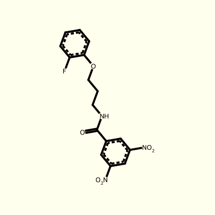 O=C(NCCCOc1ccccc1F)c1cc([N+](=O)[O-])cc([N+](=O)[O-])c1